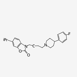 CC(C)c1ccc2c(c1)oc(=O)n2CCCCN1CCC(c2ccc(F)cc2)CC1